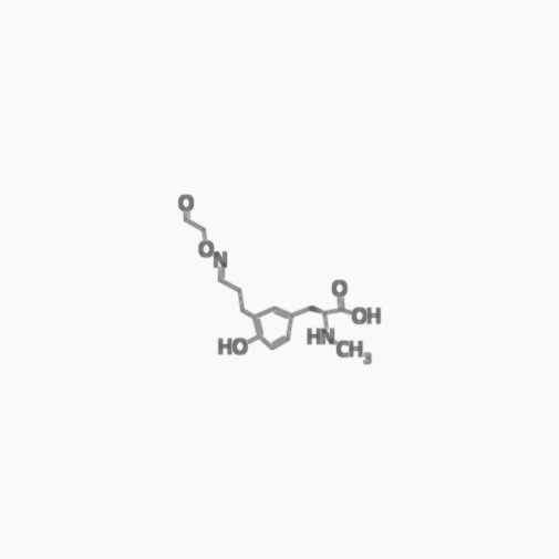 CN[C@@H](Cc1ccc(O)c(CC/C=N/OCC=O)c1)C(=O)O